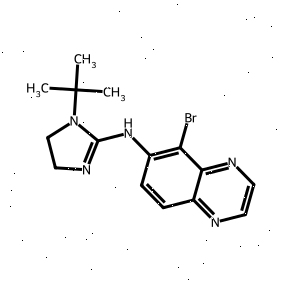 CC(C)(C)N1CCN=C1Nc1ccc2nccnc2c1Br